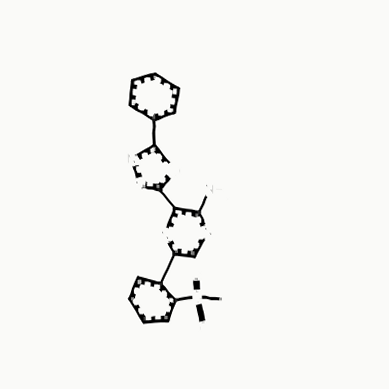 CS(=O)(=O)c1ccccc1-c1cnc(N)c(-c2nnc(-c3ccccc3)o2)n1